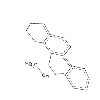 C1=c2ccc3c(c2CCC1)CC=c1ccccc1=3.O=C(O)O